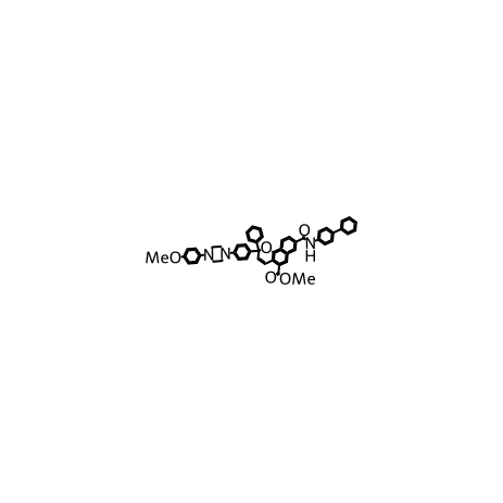 COC(=O)c1cc2cc(C(=O)Nc3ccc(-c4ccccc4)cc3)ccc2c2c1C=CC(c1ccccc1)(c1ccc(N3CCN(c4ccc(OC)cc4)CC3)cc1)O2